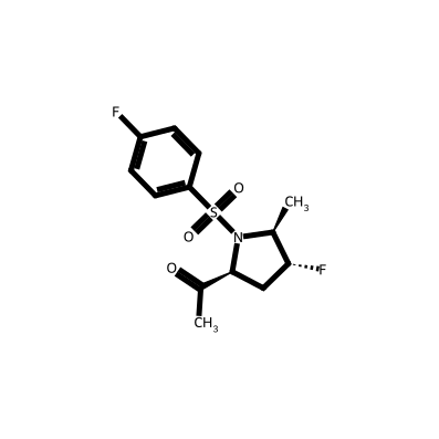 CC(=O)[C@@H]1C[C@@H](F)[C@H](C)N1S(=O)(=O)c1ccc(F)cc1